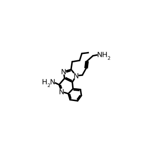 CCCCc1nc2c(N)nc3ccccc3c2n1CC#CCN